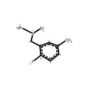 CCCN(CC)Cc1cc(C)ccc1F